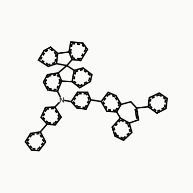 C1=C(c2ccccc2)Cc2ccc(-c3ccc(N(c4ccc(-c5ccccc5)cc4)c4cccc5c4-c4ccccc4C54c5ccccc5-c5ccccc54)cc3)cc2-c2ccccc21